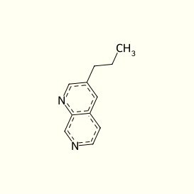 CCCc1cnc2cnccc2c1